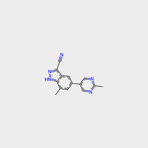 Cc1ncc(-c2cc(C)c3[nH]nc(C#N)c3c2)cn1